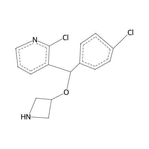 Clc1ccc(C(OC2CNC2)c2cccnc2Cl)cc1